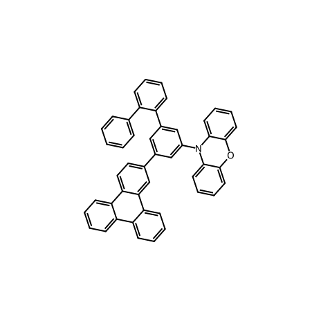 c1ccc(-c2ccccc2-c2cc(-c3ccc4c5ccccc5c5ccccc5c4c3)cc(N3c4ccccc4Oc4ccccc43)c2)cc1